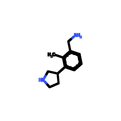 Cc1c(CN)cccc1C1CCNC1